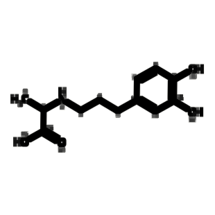 CC(NCCCc1ccc(O)c(O)c1)C(=O)O